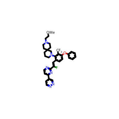 COCCN1CCC2(CCCN(c3c(/C=C(\F)c4nccc(-c5ccnnc5)n4)ccc(Oc4ccccc4)c3C(F)(F)F)C2)CC1